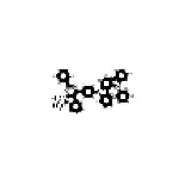 C[Si]1(C)c2ccccc2-c2c(-c3ccc(-n4c5ccccc5c5c4ccc4c6ccccc6n(-c6ccccc6)c45)cc3)nc(-c3ccccc3)nc21